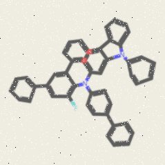 Fc1cc(-c2ccccc2)cc(-c2ccccc2)c1N(c1ccc(-c2ccccc2)cc1)c1ccc2c3ccccc3n(-c3ccccc3)c2c1